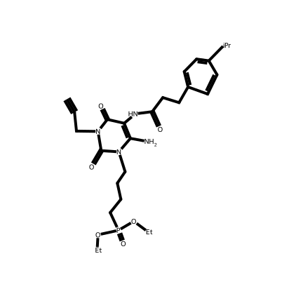 C#CCn1c(=O)c(NC(=O)CCc2ccc(C(C)C)cc2)c(N)n(CCCCP(=O)(OCC)OCC)c1=O